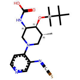 C[C@@H]1CN(c2ccncc2N=C=S)C[C@@H](NC(=O)O)[C@H]1O[Si](C)(C)C(C)(C)C